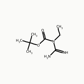 C[CH]N(C(=N)N)C(=O)OC(C)(C)C